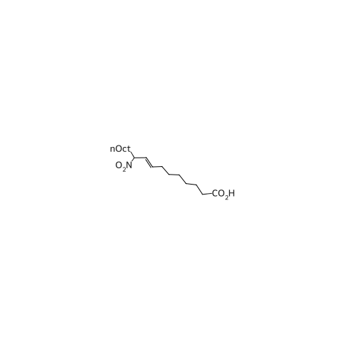 CCCCCCCCC(/C=C/CCCCCCC(=O)O)[N+](=O)[O-]